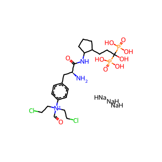 N[C@@H](Cc1ccc([N+](C=O)(CCCl)CCCl)cc1)C(=O)NC1CCCC1CCC(O)(P(=O)(O)O)P(=O)(O)O.[NaH].[NaH].[NaH]